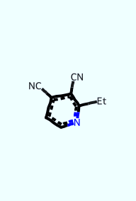 CCc1nccc(C#N)c1C#N